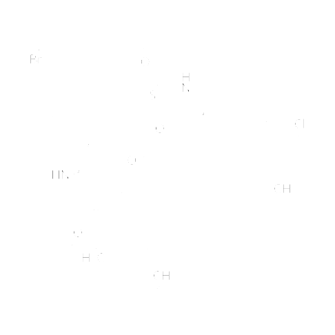 Cc1ccc(NS(=O)(=O)c2cc(Br)cc3c2OC(CC(C)C)C(=O)N3)cc1Cl